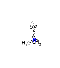 C=C(/C=C\C=C/C)N(c1ccccc1)c1ccc(/C=C/c2ccc(-c3c4ccccc4c(-c4ccccc4)c4ccccc34)cc2)cc1